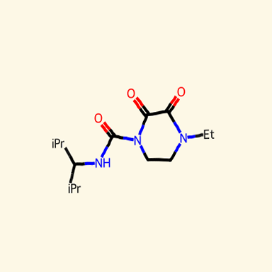 CCN1CCN(C(=O)NC(C(C)C)C(C)C)C(=O)C1=O